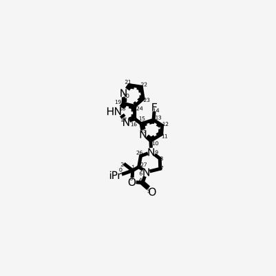 CC(C)C1(C)OC(=O)N2CCN(c3ccc(F)c(-c4n[nH]c5ncccc45)n3)CC21